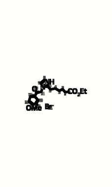 CCOC(=O)CCCCCc1[nH]cc[n+]1CC(=O)c1cccc(OC)c1.[Br-]